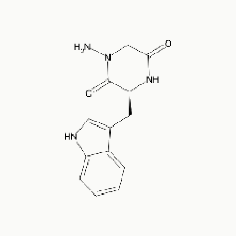 NN1CC(=O)N[C@@H](Cc2c[nH]c3ccccc23)C1=O